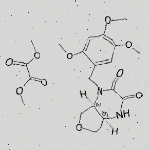 COC(=O)C(=O)OC.COc1cc(OC)c(OC)cc1CN1C(=O)C(=O)N[C@H]2COC[C@H]21